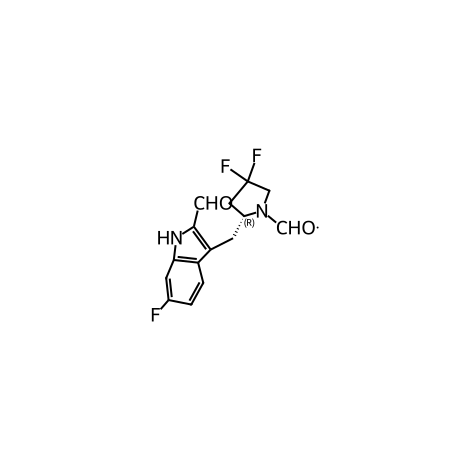 O=[C]N1CC(F)(F)C[C@H]1Cc1c(C=O)[nH]c2cc(F)ccc12